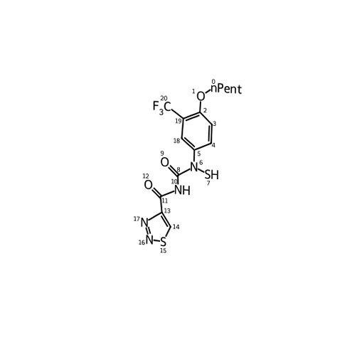 CCCCCOc1ccc(N(S)C(=O)NC(=O)c2csnn2)cc1C(F)(F)F